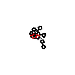 c1ccc(-c2ccc(N(c3ccc(-c4ccccn4)cc3)c3ccccc3-c3ccc4c(c3)N(c3ccccc3)c3ccccc3C4(c3ccccc3)c3ccccc3)cc2)cc1